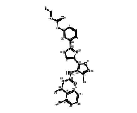 CCOC(=O)Cc1cccc(-c2nc(-c3onc(C)c3NC(=O)OC(C)c3ccccc3F)cs2)c1